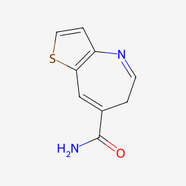 NC(=O)C1=Cc2sccc2N=CC1